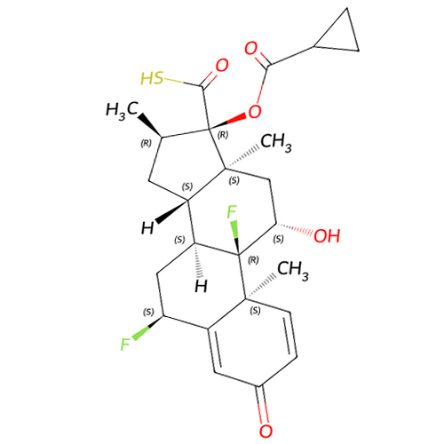 C[C@@H]1C[C@H]2[C@@H]3C[C@H](F)C4=CC(=O)C=C[C@]4(C)[C@@]3(F)[C@@H](O)C[C@]2(C)[C@@]1(OC(=O)C1CC1)C(=O)S